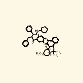 C[C@H]1CC[C@H]2[C@H](C1)c1c(c3ccccc3c3nc4ccc(C(=O)N(Cc5ccccc5)C(C(=O)NC5CCCCC5)c5ccccc5)cc4nc13)OC2(C)C